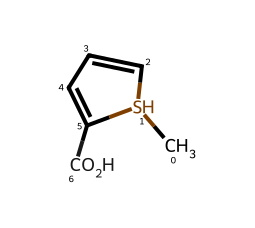 C[SH]1C=CC=C1C(=O)O